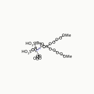 COCCOCCOCCOCCOCCN(CCOCCOCCOCCOCCOC)c1ccc2c(c1)OC(C(C)(C)C)C=C2/C=C/C=C1\N(CCCS(=O)(=O)O)c2ccc(S(=O)(=O)O)cc2C1(C)CCCC(=O)ON1C(=O)CCC1=O